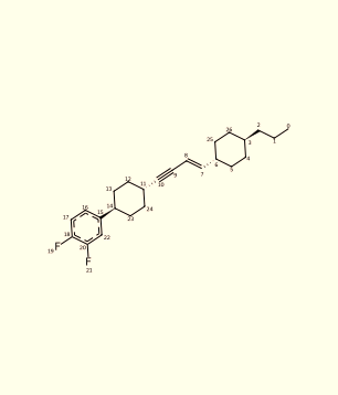 CCC[C@H]1CC[C@H](C=CC#C[C@H]2CC[C@H](c3ccc(F)c(F)c3)CC2)CC1